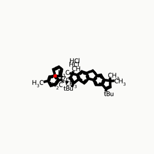 Cl.Cl.[CH2]=[Zr]([CH3])([C]1=CC=CC1)([C]1=C(C(C)(C)C)c2cc3c(cc2C1(C)C)Cc1cc2c(cc1-3)C(C(C)(C)C)=CC2(C)C)[c]1ccc(C)cc1